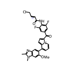 COc1cc2c(cc1-c1cccn3c(C(=O)c4cc(F)c(NC(=O)/C=C/CCl)c(F)c4)ccc13)nc(C)n2C